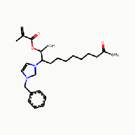 C=C(C)C(=O)OC(CCCCCCCC)C(CCCCCCCC(=O)OC)N1C=CN(Cc2ccccc2)C1